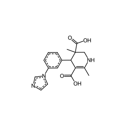 CC1=C(C(=O)O)C(c2cccc(-n3ccnc3)c2)C(C)(C(=O)O)CN1